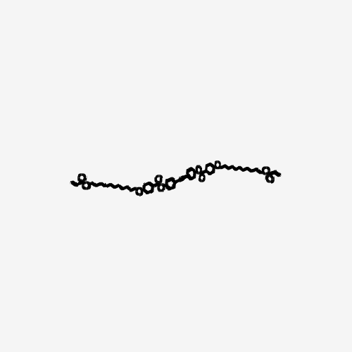 C=CC(=O)OCCCCCCCCCCCOC1CCC(C(=O)Oc2ccc(C#Cc3ccc(OC(=O)C4CCC(OCCCCCCCCCCCOC(=O)C=C)CC4)cc3)cc2)CC1